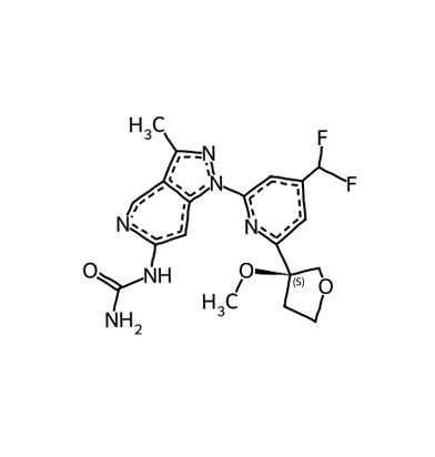 CO[C@]1(c2cc(C(F)F)cc(-n3nc(C)c4cnc(NC(N)=O)cc43)n2)CCOC1